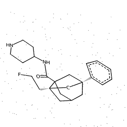 O=C(NC1CCNCC1)C12CC3C[C@](c4ccccc4)(C1)C[C@@]2(CCF)C3